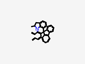 C=C/C=C\C1=C(C=C)N2c3c(cccc3C13C(/C=C\C)=C(/C=C\C)c1ccccc13)CC2C